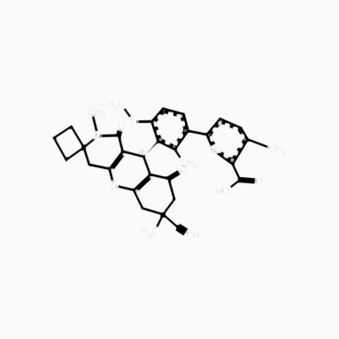 C#CC1(C)CC(=O)C2=C(C1)OC1=C(C(=O)N(C)C3(CCC3)C1)[C@H]2c1c(OC)ccc(-c2ccc(C)c(C(=O)O)n2)c1C